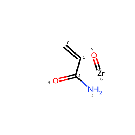 C=CC(N)=O.[O]=[Zr]